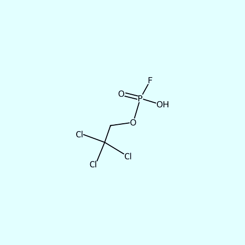 O=P(O)(F)OCC(Cl)(Cl)Cl